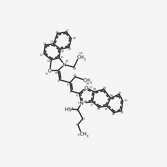 CCCC(S)[n+]1c(C=C(C=C2Oc3ccc4ccccc4c3N2CC)CC)oc2cc3ccccc3cc21